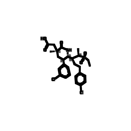 CCS(=O)(=O)[C@H](C)[C@@H](CCc1ccc(Cl)cc1)[C@H]1NC(=O)[C@](C)(CC(=O)O)C[C@@H]1c1cccc(Cl)c1